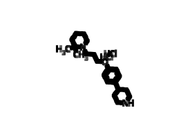 CC1(C)CCCCN1CCCOc1ccc(C2CCNCC2)cc1.Cl.Cl